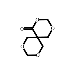 O=C1OCOCC12COCOC2